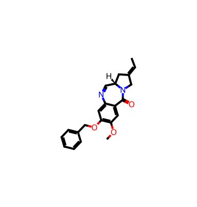 C/C=C1\C[C@H]2C=Nc3cc(OCc4ccccc4)c(OC)cc3C(=O)N2C1